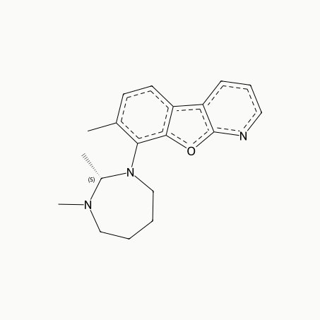 Cc1ccc2c(oc3ncccc32)c1N1CCCCN(C)[C@@H]1C